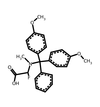 COc1ccc(C(c2ccccc2)(c2ccc(OC)cc2)N(C)C(F)C(=O)O)cc1